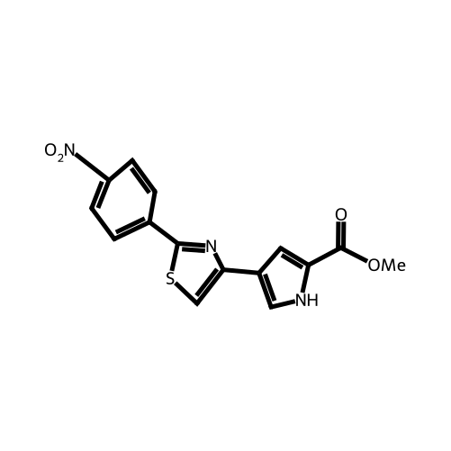 COC(=O)c1cc(-c2csc(-c3ccc([N+](=O)[O-])cc3)n2)c[nH]1